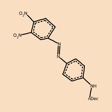 CCCCCCCCCCNc1ccc(N=Nc2ccc([N+](=O)[O-])c([N+](=O)[O-])c2)cc1